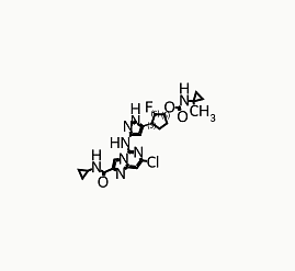 CC1(NC(=O)O[C@H]2CC[C@@H](c3cc(Nc4nc(Cl)cc5nc(C(=O)NC6CC6)cn45)n[nH]3)[C@@H]2F)CC1